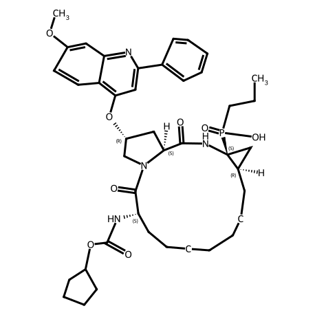 CCCP(=O)(O)[C@@]12C[C@H]1CCCCCCC[C@H](NC(=O)OC1CCCC1)C(=O)N1C[C@H](Oc3cc(-c4ccccc4)nc4cc(OC)ccc34)C[C@H]1C(=O)N2